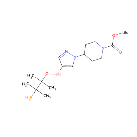 CC(C)(C)OC(=O)N1CCC(n2cc(BOC(C)(C)C(C)(C)P)cn2)CC1